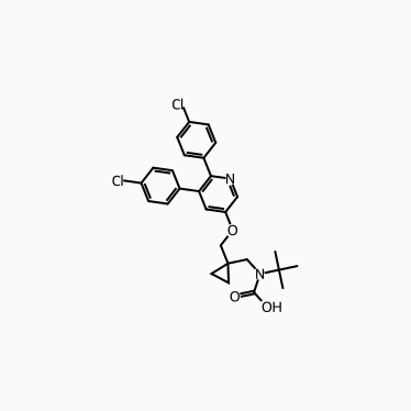 CC(C)(C)N(CC1(COc2cnc(-c3ccc(Cl)cc3)c(-c3ccc(Cl)cc3)c2)CC1)C(=O)O